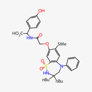 CCCCC1(CCCC)CN(c2ccccc2)c2cc(SC)c(OCC(=O)NC(C(=O)O)c3ccc(O)cc3)cc2S(=O)(=O)N1